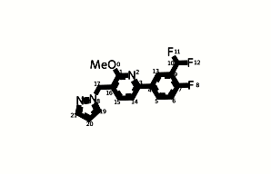 COc1nc(-c2ccc(F)c(C(F)F)c2)ccc1Cn1cccn1